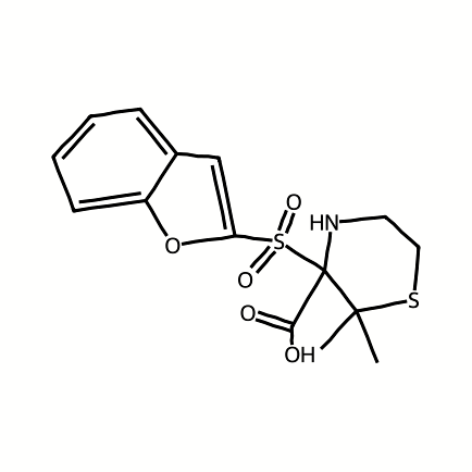 CC1(C)SCCNC1(C(=O)O)S(=O)(=O)c1cc2ccccc2o1